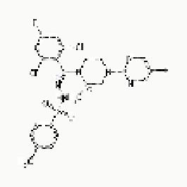 Cc1ccc(S(=O)(=O)N/N=C(/c2c(Cl)cc(F)cc2Cl)N2CCN(c3ncc(F)cn3)C[C@@H]2C)cc1